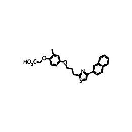 Cc1cc(OCCCc2nc(-c3ccc4ccccc4c3)cs2)ccc1OCC(=O)O